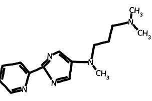 CN(C)CCCN(C)c1cnc(-c2ccccn2)nc1